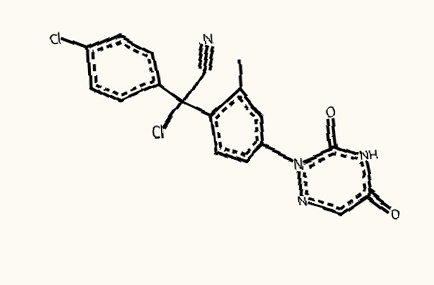 Cc1cc(-n2ncc(=O)[nH]c2=O)ccc1C(Cl)(C#N)c1ccc(Cl)cc1